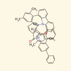 Cc1cc(C)c(-c2cccc3c4cccc(-c5c(C)cc(C)cc5C)c4n(-c4cccc5c4C(=O)N(c4ccc(-c6ccccc6)cc4-c4ccccc4)C5=O)c23)c(C)c1